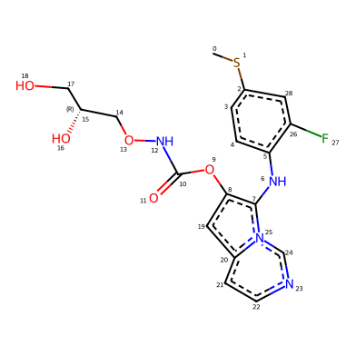 CSc1ccc(Nc2c(OC(=O)NOC[C@H](O)CO)cc3ccncn23)c(F)c1